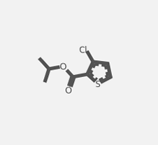 CC(C)OC(=O)c1sccc1Cl